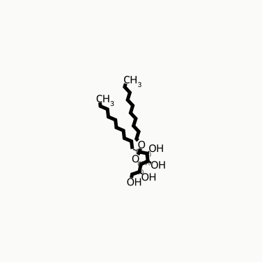 CCCCCCCCCCO[C@]1(CCCCCCCCCC)O[C@@H]([C@H](O)CO)[C@H](O)[C@H]1O